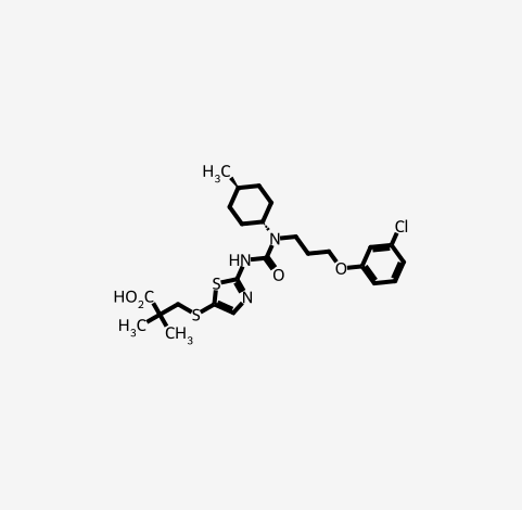 CC(C)(CSc1cnc(NC(=O)N(CCCOc2cccc(Cl)c2)[C@H]2CC[C@H](C)CC2)s1)C(=O)O